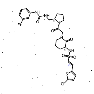 CCc1cccc(NC(=O)NC[C@H]2CCCN2C(=O)CN2CCC[C@H](NS(=O)(=O)/C=C/c3ccc(Cl)s3)C2=O)c1